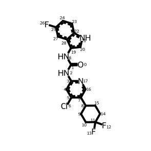 O=C(Nc1cc(Cl)c(C2CCC(F)(F)CC2)cn1)Nc1c[nH]c2ccc(F)cc12